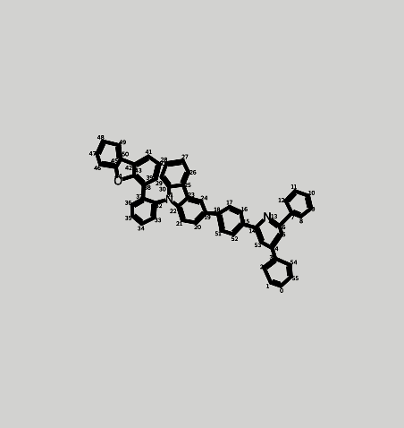 c1ccc(-c2cc(-c3ccccc3)nc(-c3ccc(-c4ccc5c(c4)c4ccccc4n5-c4ccccc4-c4cccc5c4oc4ccccc45)cc3)c2)cc1